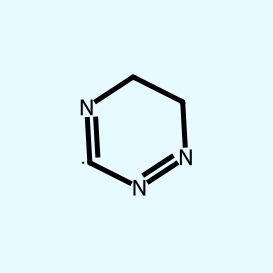 [C]1=NCCN=N1